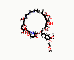 CCOCCOC1CCC(CC(C)C2CC(=O)C(C)C(O)C(C)C(O)C(C=O)C(=O)C(C)CC(C)/C=C/C=C/C=C(\C)C(OC)CC3CCC(C)C(O)(O3)C(O)C(=O)N3CCCCC3C(=O)O2)CC1OC